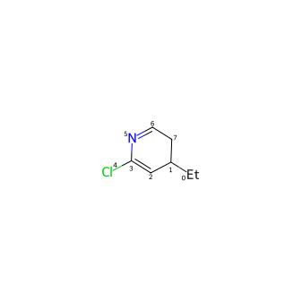 CCC1C=C(Cl)N=CC1